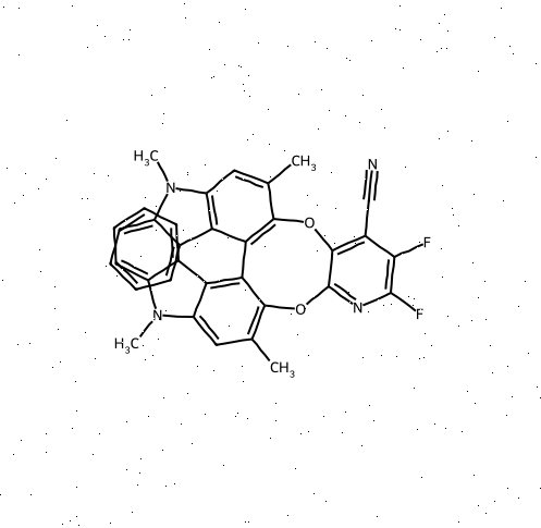 Cc1cc2c(c3ccccc3n2C)c2c1oc1nc(F)c(F)c(C#N)c1oc1c(C)cc3c(c4ccccc4n3C)c12